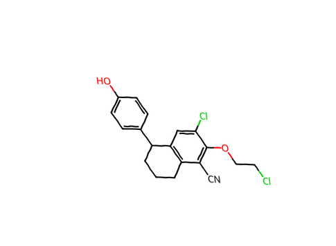 N#Cc1c2c(cc(Cl)c1OCCCl)C(c1ccc(O)cc1)CCC2